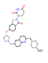 CO[C@H]1CC[C@@H](Cc2ccc3cc(CN4CC[C@H](Oc5ccc6c(c5)CN(C5CCC(=O)NC5=O)C6=O)C4)ccc3n2)CC1